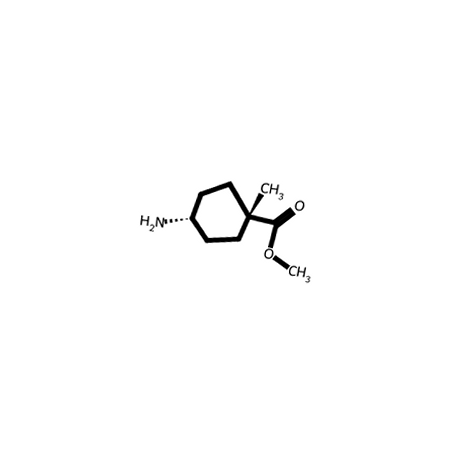 COC(=O)[C@]1(C)CC[C@H](N)CC1